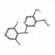 CCNc1nc(Nc2c(F)cccc2F)ncc1[N+](=O)[O-]